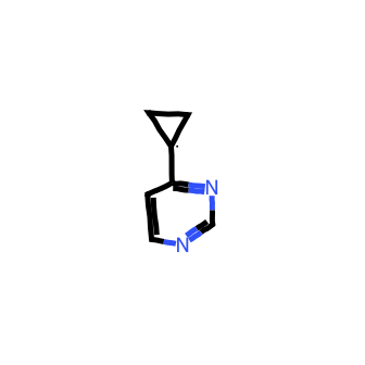 c1cc([C]2CC2)ncn1